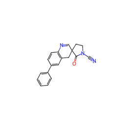 N#CN1CCC2(C=Nc3ccc(-c4ccccc4)cc3C2)C1=O